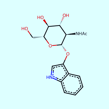 CC(=O)N[C@H]1[C@H](Oc2c[nH]c3ccccc23)O[C@H](CO)[C@@H](O)[C@@H]1O